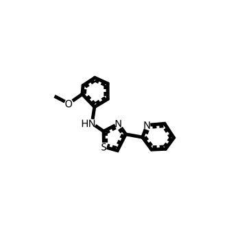 COc1ccccc1Nc1nc(-c2ccccn2)cs1